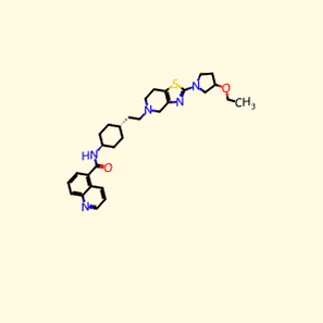 CCOC1CCN(c2nc3c(s2)CCN(CC[C@H]2CC[C@H](NC(=O)c4cccc5ncccc45)CC2)C3)C1